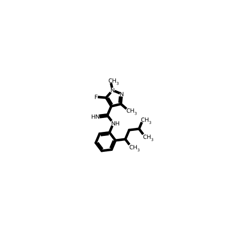 Cc1nn(C)c(F)c1C(=N)Nc1ccccc1C(C)CC(C)C